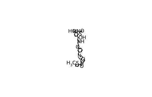 Cc1ccc(C(=O)N2CCOC3(CCN(Cc4cccc(OCCNC[C@H](O)c5ccc(O)c6[nH]c(=O)sc56)c4)CC3)C2)s1